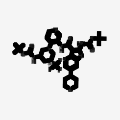 CC(C)(C)OC(=O)Nc1oc2cc(C3CCOCC3)cnc2c1C(=O)Nc1cnccc1N1CC(NC(=O)OC(C)(C)C)C[C@@H](C(F)(F)F)C1